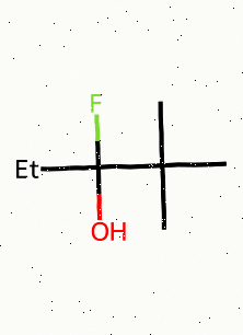 CCC(O)(F)C(C)(C)C